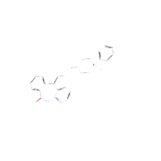 O=C1Nc2ncccc2/C(=C\CCN2CCC(O)(c3ccc(Cl)cc3)CC2)c2ccccc21